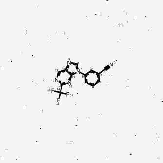 N#Cc1cccc(-n2cnc3cnc(C(F)(F)F)nc32)c1